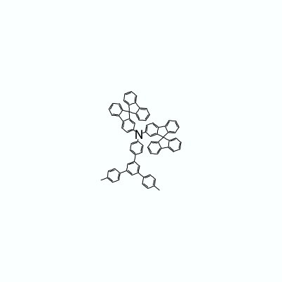 Cc1ccc(-c2cc(-c3ccc(C)cc3)cc(-c3ccc(N(c4ccc5c(c4)C4(c6ccccc6-c6ccccc64)c4ccccc4-5)c4ccc5c(c4)C4(c6ccccc6-c6ccccc64)c4ccccc4-5)cc3)c2)cc1